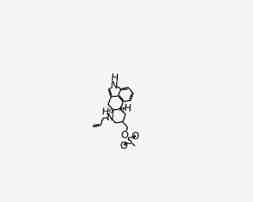 C=CCN1CC(COS(C)(=O)=O)C[C@H]2c3cccc4[nH]cc(c34)C[C@@H]21